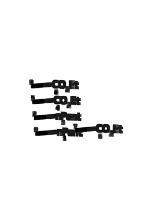 CCCCCC.CCCCCC.CCOC(C)=O.CCOC(C)=O.CCOC(C)=O